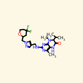 Cc1nc(NCc2cnn(CC3CC(F)(F)CCO3)c2)nc2c1NC(=O)C(C(C)C)N2C